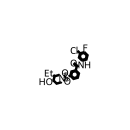 CCC1CN(S(=O)(=O)c2cccc(C(=O)Nc3ccc(F)c(Cl)c3)c2)CCC1O